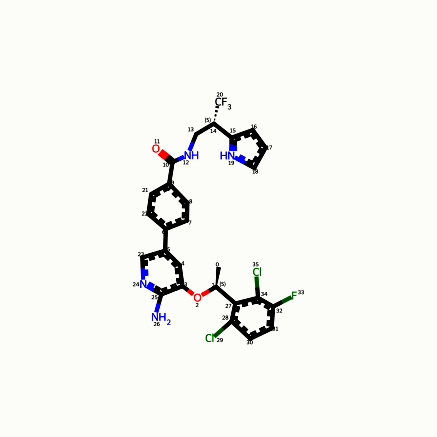 C[C@H](Oc1cc(-c2ccc(C(=O)NC[C@@H](c3ccc[nH]3)C(F)(F)F)cc2)cnc1N)c1c(Cl)ccc(F)c1Cl